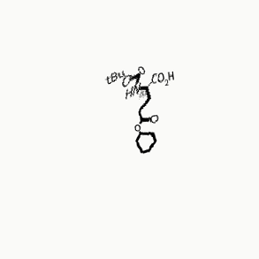 CC(C)(C)OC(=O)N[C@@H](CCC(=O)OC1CCCCC1)C(=O)O